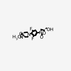 CN=S1(=O)CCN(c2c(F)cc(N3C[C@H](CO)OC3=O)cc2F)CC1